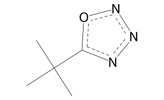 CC(C)(C)c1nnno1